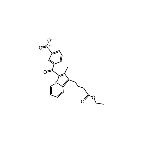 CCOC(=O)CCCc1c(C)c(C(=O)c2cccc([N+](=O)[O-])c2)n2ccccc12